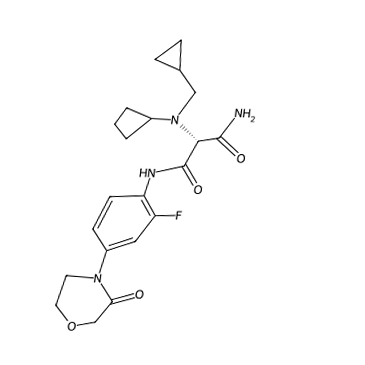 NC(=O)[C@H](C(=O)Nc1ccc(N2CCOCC2=O)cc1F)N(CC1CC1)C1CCC1